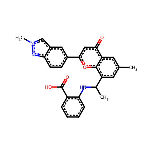 Cc1cc(C(C)Nc2ccccc2C(=O)O)c2oc(-c3ccc4nn(C)cc4c3)cc(=O)c2c1